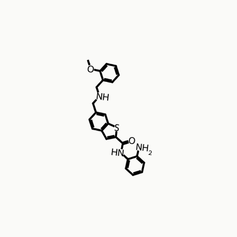 COc1ccccc1CNCc1ccc2cc(C(=O)Nc3ccccc3N)sc2c1